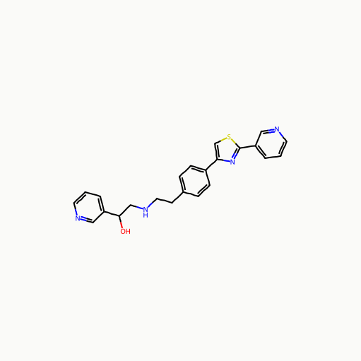 OC(CNCCc1ccc(-c2csc(-c3cccnc3)n2)cc1)c1cccnc1